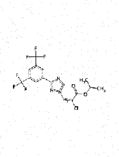 CC(C)OC(=O)/C(Cl)=C\n1cnc(-c2cc(C(F)(F)F)cc(C(F)(F)F)c2)n1